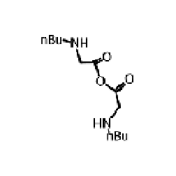 CCCCNCC(=O)OC(=O)CNCCCC